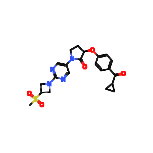 CS(=O)(=O)C1CN(c2ncc(N3CC[C@@H](Oc4ccc(C(=O)C5CC5)cc4)C3=O)cn2)C1